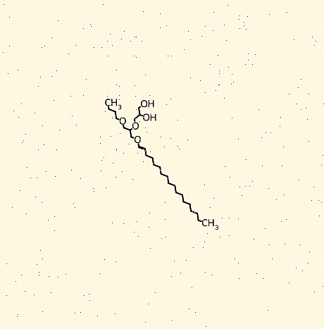 CCCCCCCCCCCCCCCCC=COCC(COCCCC)OCC(O)CO